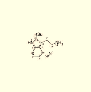 C#N.CC(C)(C)c1[nH]c2ccccc2c1CCN